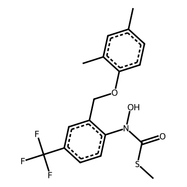 CSC(=O)N(O)c1ccc(C(F)(F)F)cc1COc1ccc(C)cc1C